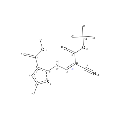 COC(=O)c1cc(C)sc1N/C=C(/C#N)C(=O)OC(C)(C)C